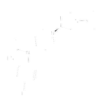 O=C(O)N1CC[C@H](N2CCC(n3c(=O)[nH]c4cc(F)ccc43)CC2)C1